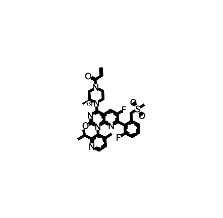 C=CC(=O)N1CCN(c2nc(=O)n(-c3c(C)ccnc3C(C)C)c3nc(-c4c(F)cccc4CS(C)(=O)=O)c(F)cc23)[C@@H](C)C1